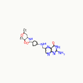 CCC(=O)CC(NC(=O)c1ccc(NCc2cnc3nc(N)[nH]c(=O)c3n2)cc1)C(=O)CC